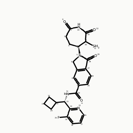 O=C1CC[C@H](N2Cc3cc(C(=O)N[C@H](c4ncccc4F)C4CCC4)ccc3C2=O)C([SiH3])C(=O)N1